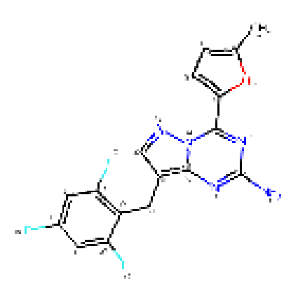 Cc1ccc(-c2nc(N)nc3c(Cc4c(F)cc(F)cc4F)cnn23)o1